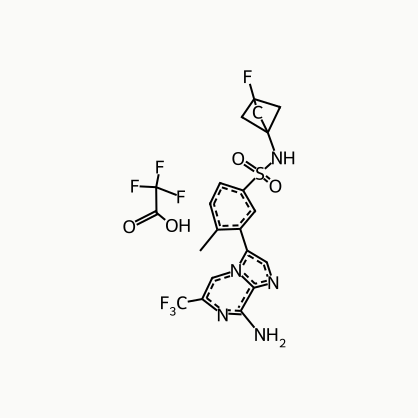 Cc1ccc(S(=O)(=O)NC23CC(F)(C2)C3)cc1-c1cnc2c(N)nc(C(F)(F)F)cn12.O=C(O)C(F)(F)F